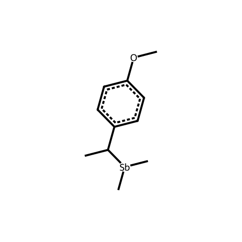 COc1ccc([CH](C)[Sb]([CH3])[CH3])cc1